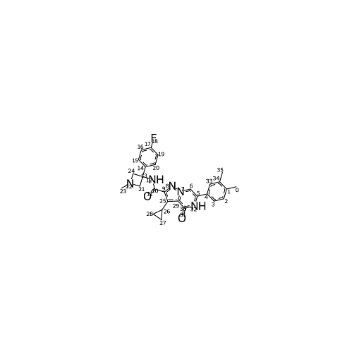 Cc1ccc(-c2cn3nc(C(=O)NC4(c5ccc(F)cc5)CN(C)C4)c(C4CC4)c3c(=O)[nH]2)cc1C